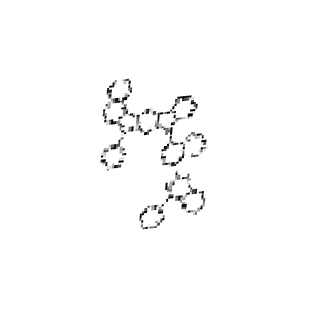 c1ccc(-c2nc(-c3ccc(-n4c5ccccc5c5cc6c7c8ccccc8ccc7n(-c7ccccc7)c6cc54)c4ccccc34)nc3ccccc23)cc1